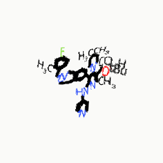 Cc1cc(F)ccc1CN1CCc2cc(-c3c(CNCc4ccncc4)nc(C)c(C(OC(C)(C)C)C(=O)O)c3N3CCC(C)(C)CC3)ccc2C1